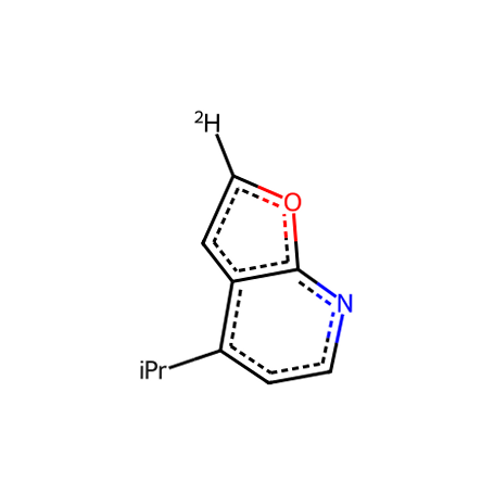 [2H]c1cc2c(C(C)C)ccnc2o1